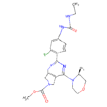 CCNC(=O)Nc1ccc(-c2nc3c(c(N4CCOC[C@@H]4C)n2)CN(C(=O)OC)C3)c(F)c1